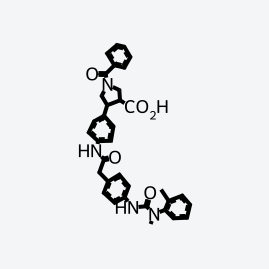 Cc1ccccc1N(C)C(=O)Nc1ccc(CC(=O)Nc2ccc(C3CN(C(=O)c4ccccc4)CC3C(=O)O)cc2)cc1